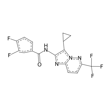 O=C(Nc1nc2ccc(C(F)(F)F)nn2c1C1CC1)c1ccc(F)c(F)c1